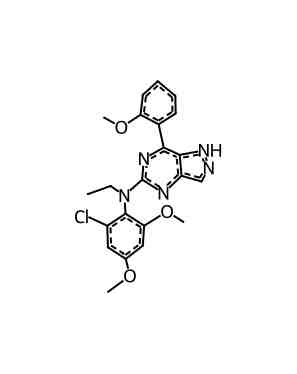 CCN(c1nc(-c2ccccc2OC)c2[nH]ncc2n1)c1c(Cl)cc(OC)cc1OC